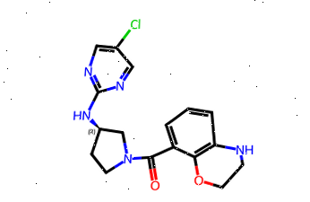 O=C(c1cccc2c1OCCN2)N1CC[C@@H](Nc2ncc(Cl)cn2)C1